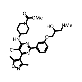 CNCC(O)COc1cccc(-c2nc(NC3CCN(C(=O)OC)CC3)c(Cl)c(-c3c(C)noc3C)n2)c1